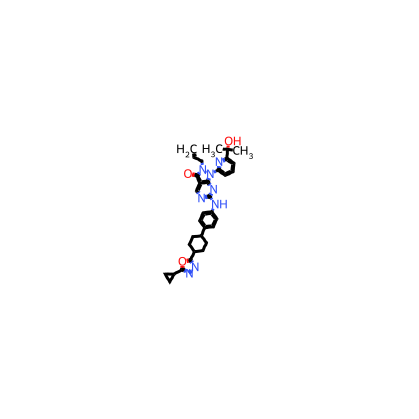 C=CCn1c(=O)c2cnc(Nc3ccc(C4CCC(c5nnc(C6CC6)o5)CC4)cc3)nc2n1-c1cccc(C(C)(C)O)n1